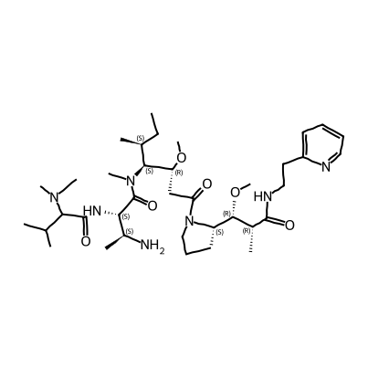 CC[C@H](C)[C@@H]([C@@H](CC(=O)N1CCC[C@H]1[C@H](OC)[C@@H](C)C(=O)NCCc1ccccn1)OC)N(C)C(=O)[C@@H](NC(=O)C(C(C)C)N(C)C)[C@H](C)N